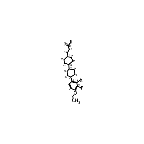 CCOc1ccc(C2CCC(C3CCC(CCC(F)F)CC3)CC2)c(F)c1F